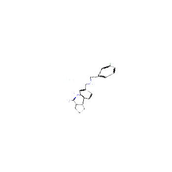 Cl.Cl.NC1=Nc2cc(CNCc3cccc(Cl)c3)ccc2C2CCCC12